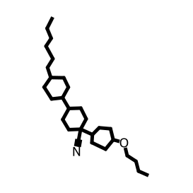 CCCCCCC1CCC(C2CCC(C#N)(C3CCC(OCCCC)CC3)CC2)CC1